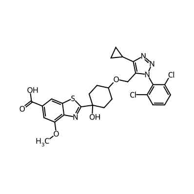 COc1cc(C(=O)O)cc2sc(C3(O)CCC(OCc4c(C5CC5)nnn4-c4c(Cl)cccc4Cl)CC3)nc12